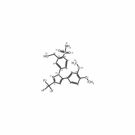 COc1ccc(-c2cc(C(F)(F)F)nn2-c2ccc(S(N)(=O)=O)c(CO)c2)cc1OC